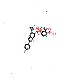 CC[N+](Cc1cc(F)c2c(c1)COB2O)(c1cc2oc(-c3ccc(F)cc3)cc2cc1C1CC1)S(C)(=O)=O